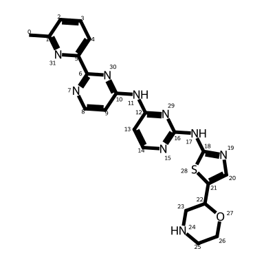 Cc1cccc(-c2nccc(Nc3ccnc(Nc4ncc(C5CNCCO5)s4)n3)n2)n1